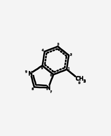 Cc1cccc2c1N=C=N2